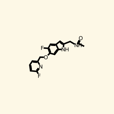 CC(=O)NCc1cc2cc(F)c(OCc3cccc(F)n3)cc2[nH]1